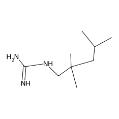 CC(C)CC(C)(C)CNC(=N)N